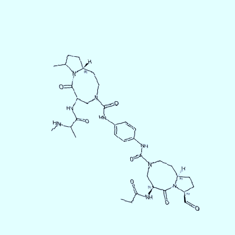 CCC(=O)N[C@H]1CN(C(=O)Nc2ccc(NC(=O)N3CC[C@H]4CCC(C)N4C(=O)C(NC(=O)C(C)NC)C3)cc2)CC[C@H]2CC[C@@H](C=O)N2C1=O